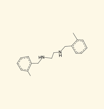 Cc1ccccc1CNCCNCc1ccccc1C